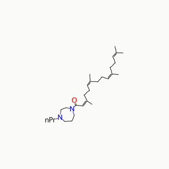 CCCN1CCCN(C(=O)C=C(C)CCC=C(C)CCC=C(C)CCC=C(C)C)CC1